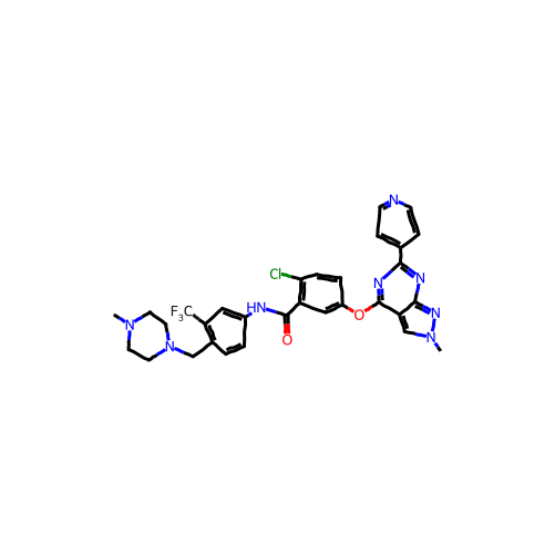 CN1CCN(Cc2ccc(NC(=O)c3cc(Oc4nc(-c5ccncc5)nc5nn(C)cc45)ccc3Cl)cc2C(F)(F)F)CC1